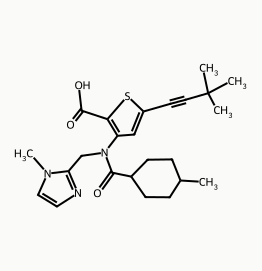 CC1CCC(C(=O)N(Cc2nccn2C)c2cc(C#CC(C)(C)C)sc2C(=O)O)CC1